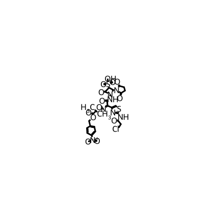 CC(C)(O/N=C(\C(=O)NN1C(=O)[C@@H](S(=O)(=O)O)[C@H]1N1C(=O)CCC1=O)c1csc(NC(=O)CCl)n1)C(=O)OCc1ccc([N+](=O)[O-])cc1